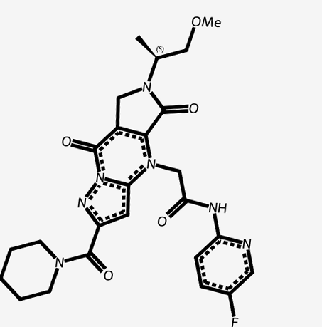 COC[C@H](C)N1Cc2c(n(CC(=O)Nc3ccc(F)cn3)c3cc(C(=O)N4CCCCC4)nn3c2=O)C1=O